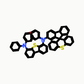 c1ccc(N(c2ccccc2)c2cccc3c2sc2c(N(c4ccccc4)c4ccc5c(c4)C4(c6ccccc6Sc6ccccc64)c4ccccc4-5)cccc23)cc1